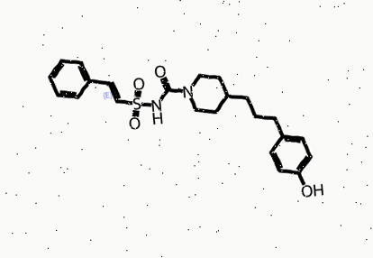 O=C(NS(=O)(=O)/C=C/c1ccccc1)N1CCC(CCCc2ccc(O)cc2)CC1